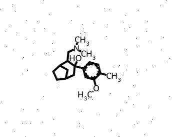 COc1cc(C2(O)CC3CCC(C3)C2CN(C)C)ccc1C